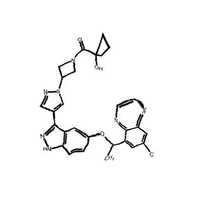 CC(Oc1ccc2[nH]nc(-c3cnn(C4CN(C(=O)C5(O)CC5)C4)c3)c2c1)c1cc(Cl)cc2nccnc12